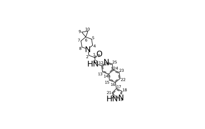 O=C(CN1CCC2(CC1)CC2)Nc1cc2cc(-c3cn[nH]c3)ccc2cn1